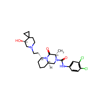 C[C@H]1C(=O)N2[C@@H](CCN3CCC4(CC4)[C@H](O)C3)CCC[C@@H]2CN1C(=O)Nc1ccc(Cl)c(Cl)c1